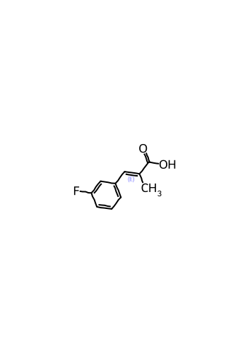 C/C(=C\c1cccc(F)c1)C(=O)O